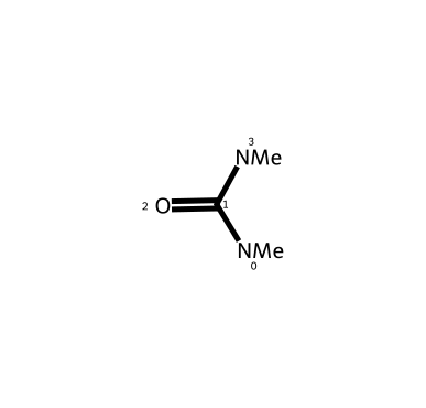 [CH2]NC(=O)NC